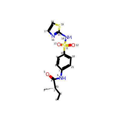 CC[C@H](C)C(=O)Nc1ccc(S(=O)(=O)Nc2nccs2)cc1